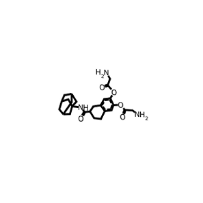 NCC(=O)Oc1cc2c(cc1OC(=O)CN)CC(C(=O)NC13CC4CC(CC(C4)C1)C3)CC2